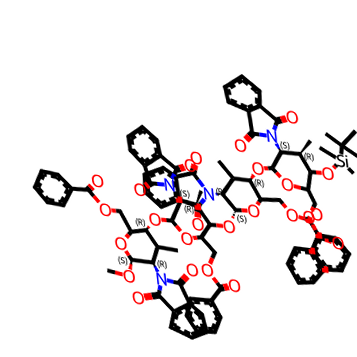 CO[C@H]1OC(COC(=O)c2ccccc2)[C@H](OC2OC(COC(=O)c3ccccc3)C(O[C@H]3OC(COC(=O)c4ccccc4)[C@H](OC4OC(COC(=O)c5ccccc5)C(O[Si](C)(C)C(C)(C)C)[C@H](C)[C@@H]4N4C(=O)c5ccccc5C4=O)C(C)[C@H]3N3C(=O)c4ccccc4C3=O)[C@H](C)[C@@H]2N2C(=O)c3ccccc3C2=O)C(C)[C@H]1N1C(=O)c2ccccc2C1=O